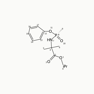 CC(C)OC(=O)C(C)(C)N[P@](C)(=O)Oc1ccccc1